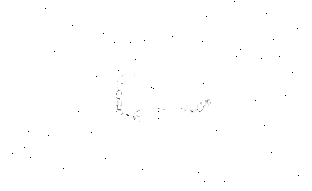 Cc1ccc(C(=O)Nc2ccc(CN3CCN(C)CC3)c(C(F)(F)F)c2)cc1C#Cc1cnc2cc(OCCOCCOCCOCCNC(=O)c3ccc(B(O)O)c(C)c3)ccn12